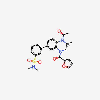 CC(=O)N1c2ccc(-c3cccc(S(=O)(=O)N(C)C)c3)cc2N(C(=O)c2ccco2)C[C@@H]1C